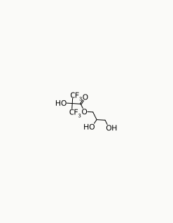 O=C(OCC(O)CO)C(O)(C(F)(F)F)C(F)(F)F